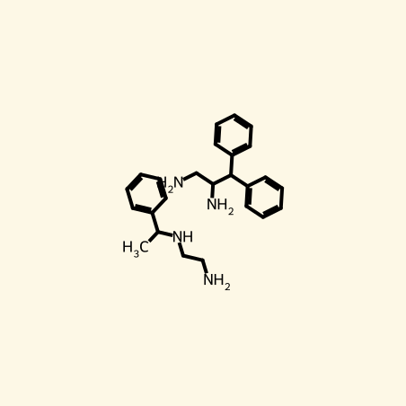 CC(NCCN)c1ccccc1.NCC(N)C(c1ccccc1)c1ccccc1